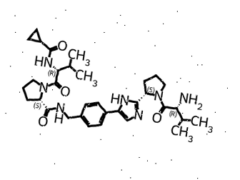 CC(C)[C@@H](N)C(=O)N1CCC[C@H]1c1ncc(-c2ccc(CNC(=O)[C@@H]3CCCN3C(=O)[C@H](NC(=O)C3CC3)C(C)C)cc2)[nH]1